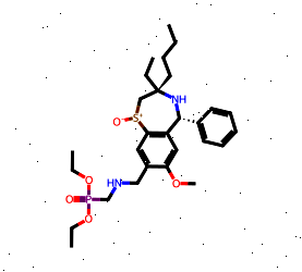 CCCC[C@]1(CC)C[S+]([O-])c2cc(CNCP(=O)(OCC)OCC)c(OC)cc2[C@@H](c2ccccc2)N1